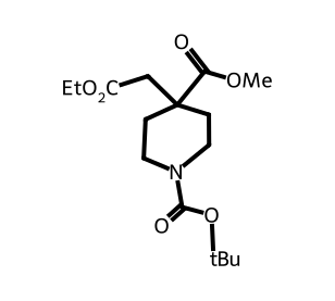 CCOC(=O)CC1(C(=O)OC)CCN(C(=O)OC(C)(C)C)CC1